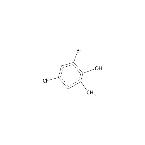 Cc1cc(Cl)cc(Br)c1O